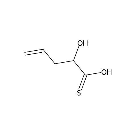 C=CCC(O)C(O)=S